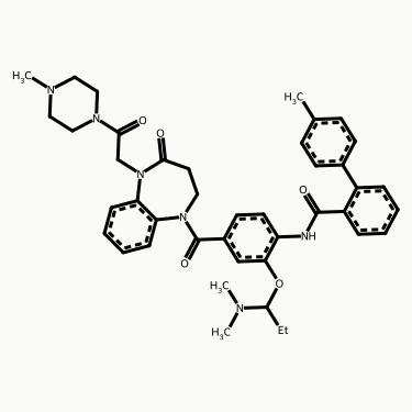 CCC(Oc1cc(C(=O)N2CCC(=O)N(CC(=O)N3CCN(C)CC3)c3ccccc32)ccc1NC(=O)c1ccccc1-c1ccc(C)cc1)N(C)C